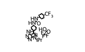 CC(C)n1nc(-c2ccc(NC(=O)Nc3ccc(C(F)(F)F)cc3)cc2)c2c(N)ncnc21.O=C(O)C(F)(F)F